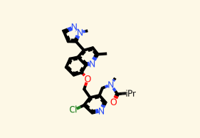 Cc1cc(-c2ccnn2C)c2cccc(OCc3c(Cl)cncc3CN(C)C(=O)C(C)C)c2n1